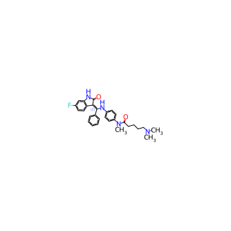 CN(C)CCCCC(=O)N(C)c1ccc(N/C(=C2\C(=O)Nc3cc(F)ccc32)c2ccccc2)cc1